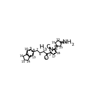 Cn1c(C(=O)CCCc2ccc3c(c2)CCC3)ccc1[C@H]1CC[C@@H](N)C1